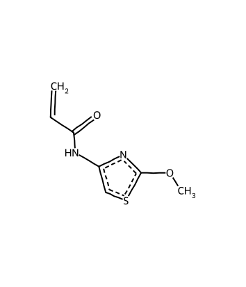 C=CC(=O)Nc1csc(OC)n1